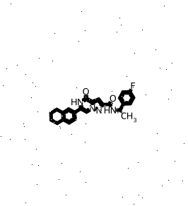 C[C@@H](NC(=O)c1cc2c(=O)[nH]c(-c3ccc4c(c3)CCCC4)cn2n1)c1ccc(F)cc1